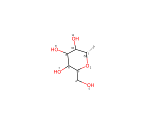 C[C@@H]1OC(CO)C(O)C(O)C1O